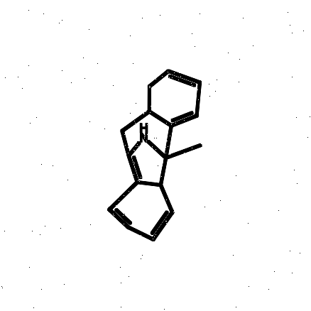 CC12NC(=C3C=CC=CC31)CC1CC=CC=C12